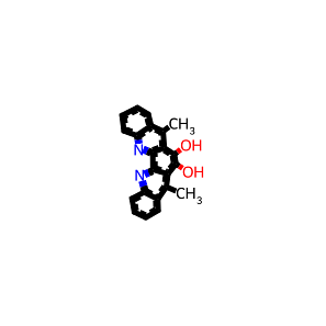 Cc1c2ccccc2nc2c1c(O)c(O)c1c(C)c3ccccc3nc12